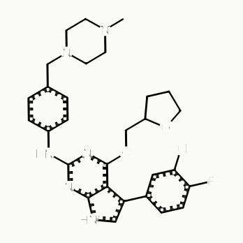 CN1CCN(Cc2ccc(Nc3nc(OCC4CCCO4)c4c(-c5ccc(F)c(Cl)c5)c[nH]c4n3)cc2)CC1